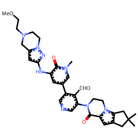 COCCN1CCn2nc(Nc3cc(-c4cncc(N5CCn6c(cc7c6CC(C)(C)C7)C5=O)c4C=O)cn(C)c3=O)cc2C1